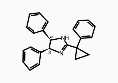 c1ccc([C@H]2NC(C3(c4ccccc4)CC3)=N[C@H]2c2ccccc2)cc1